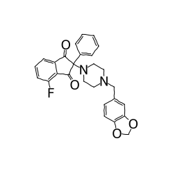 O=C1c2cccc(F)c2C(=O)C1(c1ccccc1)N1CCN(Cc2ccc3c(c2)OCO3)CC1